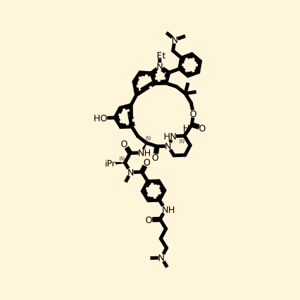 CCn1c(-c2ccccc2CN(C)C)c2c3cc(ccc31)-c1cc(O)cc(c1)C[C@H](NC(=O)[C@H](C(C)C)N(C)C(=O)c1ccc(NC(=O)CCCN(C)C)cc1)C(=O)N1CCC[C@H](N1)C(=O)OCC(C)(C)C2